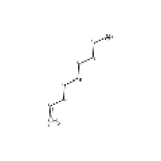 C=CCCCCC[CH2][Al]